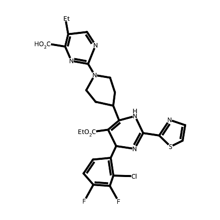 CCOC(=O)C1=C(C2CCN(c3ncc(CC)c(C(=O)O)n3)CC2)NC(c2nccs2)=NC1c1ccc(F)c(F)c1Cl